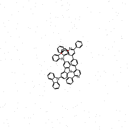 c1ccc(-c2cc(-c3ccc(-c4ccnc(-c5ccccc5)c4-n4c5ccc(-n6c7ccccc7c7ccccc76)cc5c5cc(-n6c7ccccc7c7ccccc76)ccc54)cc3)cc(-c3ccccc3)n2)cc1